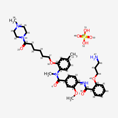 COc1cc(C(=O)N(C)c2ccc(C)cc2OCCCCCC(=O)N2CCN(C)CC2)ccc1NC(=O)c1ccccc1OCCCN.O=S(=O)(O)O